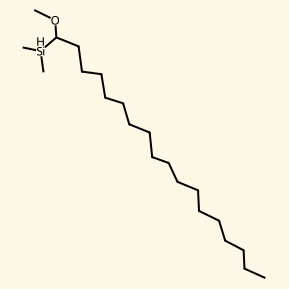 CCCCCCCCCCCCCCCCCC(OC)[SiH](C)C